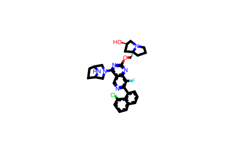 O[C@H]1CN2CCC[C@@]2(COc2nc(N3CC4CCC(C3)N4)c3cnc(-c4cccc5cccc(Cl)c45)c(F)c3n2)C1